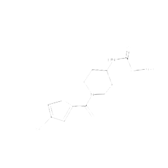 CC(C)(C)OC(=O)NC1CCN(C(=O)c2cc(Br)cs2)CC1